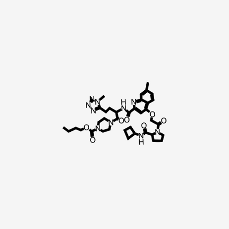 CCCCOC(=O)N1CCN(C(=O)C(CCc2nnnn2C)NC(=O)c2cc(OCC(=O)N3CCCC3C(=O)NC3CCC3)c3ccc(C)cc3n2)CC1